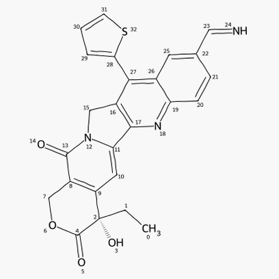 CC[C@@]1(O)C(=O)OCc2c1cc1n(c2=O)Cc2c-1nc1ccc(C=N)cc1c2-c1cccs1